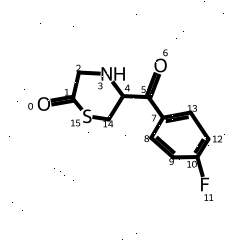 O=C1CNC(C(=O)c2ccc(F)cc2)CS1